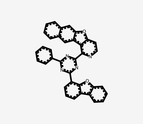 c1ccc(-c2nc(-c3cccc4c3oc3ccccc34)nc(-c3nccc4oc5cc6ccccc6cc5c34)n2)cc1